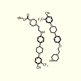 CC(C)(C)OC(=O)N1CCN(CCNc2ccc(C3CCN(c4ccc(C#N)c(C(F)(F)F)c4)CC3)cc2)CC1.N#Cc1ccc(N2CCC(c3ccc(OCCN4CCNCC4)cc3)CC2)cc1C(F)(F)F